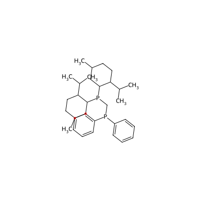 CC1CCC(C(C)C)C(P(CP(c2ccccc2)c2ccccc2)C2CC(C)CCC2C(C)C)C1